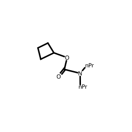 CCCN(CCC)C(=O)OC1CCC1